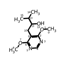 COc1ncnc(OC)c1CC(O)C(C)C